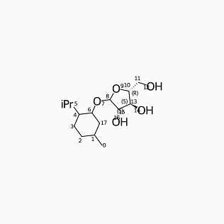 CC1CCC(C(C)C)C(OC2O[C@H](CO)[C@@H](O)[C@@H]2O)C1